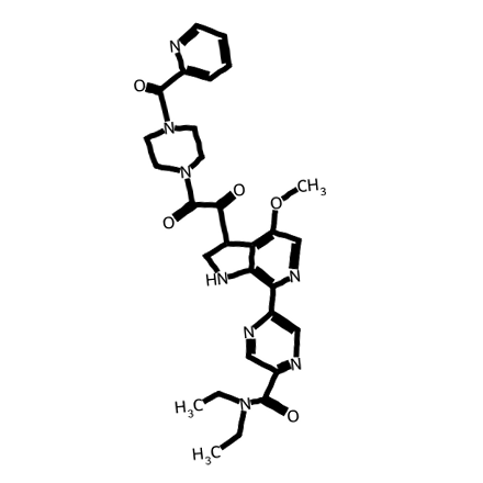 CCN(CC)C(=O)c1cnc(-c2ncc(OC)c3c2NCC3C(=O)C(=O)N2CCN(C(=O)c3ccccn3)CC2)cn1